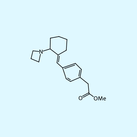 COC(=O)Cc1ccc(C=C2CCCCC2N2CCC2)cc1